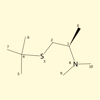 C[C@H](CSC(C)(C)C)N(C)C